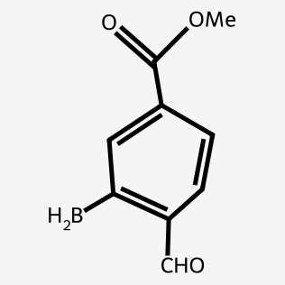 Bc1cc(C(=O)OC)ccc1C=O